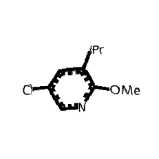 COc1ncc(Cl)cc1C(C)C